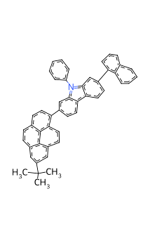 CC(C)(C)c1cc2ccc3ccc(-c4ccc5c6ccc(-c7cccc8ccccc78)cc6n(-c6ccccc6)c5c4)c4ccc(c1)c2c34